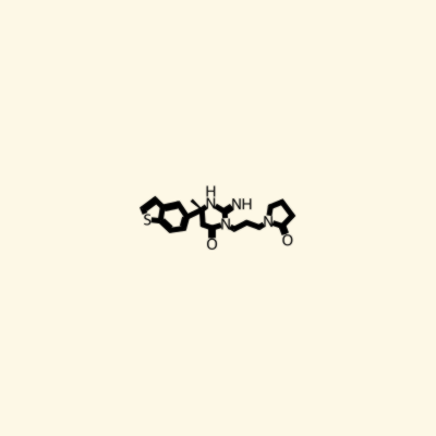 C[C@]1(c2ccc3sccc3c2)CC(=O)N(CCCN2CCCC2=O)C(=N)N1